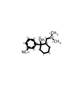 CN(C)CC1CCCCC1(O)c1cccc(C#N)c1